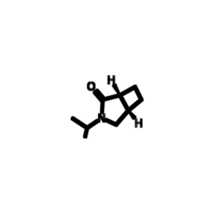 CC(C)N1C[C@H]2CC[C@H]2C1=O